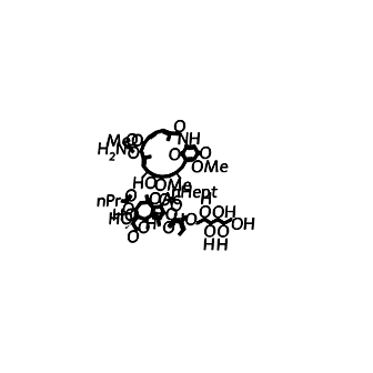 C/C=C(/C)C(=O)O[C@H]1C(C)=C2[C@H]([C@@H]1OC(=O)CCCCCCC)[C@@](C)(OC(C)=O)C[C@H](OC(=O)CCC)[C@@]1(O)[C@H]2OC(=O)[C@@]1(C)O.COC1=C2C[C@@H](C)C[C@H](OC)[C@H](O)[C@@H](C)/C=C(\C)[C@H](OC(N)=O)[C@@H](OC)/C=C\C=C(/C)C(=O)NC(=CC1=O)C2=O.OC[C@@H](O)[C@@H](O)[C@H](O)[C@H](O)CO